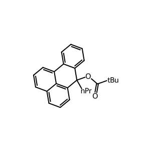 CCCC1(OC(=O)C(C)(C)C)c2ccccc2-c2cccc3cccc1c23